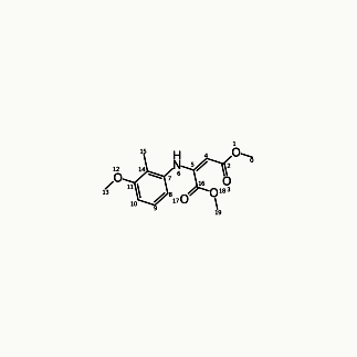 COC(=O)/C=C(/Nc1cccc(OC)c1C)C(=O)OC